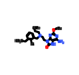 CCCCOc1nc(N)c2[nH]c(=O)n(CCN(CCOC)Cc3cccc(CC(=O)O)c3CC)c2n1